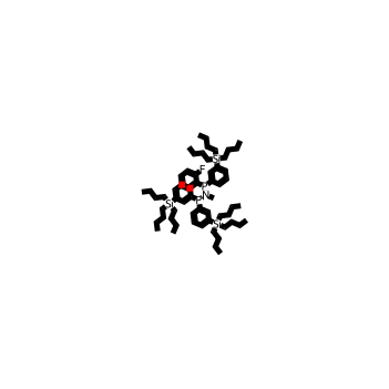 CCCC[Si](CCCC)(CCCC)c1cccc(P(c2cccc([Si](CCCC)(CCCC)CCCC)c2)N(C)P(c2cccc([Si](CCCC)(CCCC)CCCC)c2)c2ccccc2F)c1